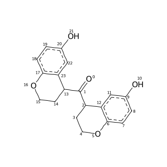 O=C(C1CCOc2ccc(O)cc21)C1CCOc2ccc(O)cc21